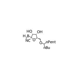 B[C@]1(C#N)O[C@H](COC(CCCC)CCCCC)[C@@H](O)[C@H]1O